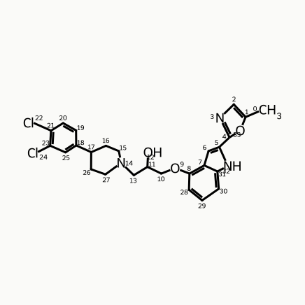 Cc1cnc(-c2cc3c(OCC(O)CN4CCC(c5ccc(Cl)c(Cl)c5)CC4)cccc3[nH]2)o1